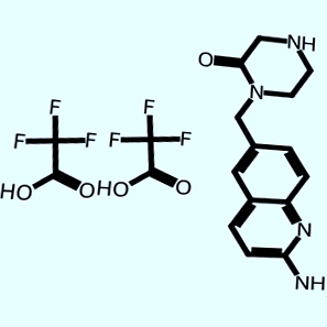 Nc1ccc2cc(CN3CCNCC3=O)ccc2n1.O=C(O)C(F)(F)F.O=C(O)C(F)(F)F